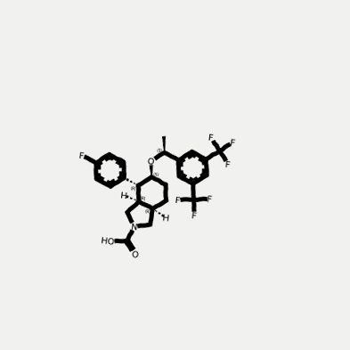 C[C@H](O[C@H]1CC[C@H]2CN(C(=O)O)C[C@H]2[C@@H]1c1ccc(F)cc1)c1cc(C(F)(F)F)cc(C(F)(F)F)c1